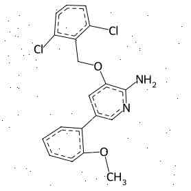 COc1ccccc1-c1cnc(N)c(OCc2c(Cl)cccc2Cl)c1